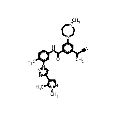 C=C(C#N)c1cc(C(=O)Nc2ccc(C)c(-n3cc(-c4cnn(C)c4C)nn3)c2)cc(N2CCCN(C)CC2)c1